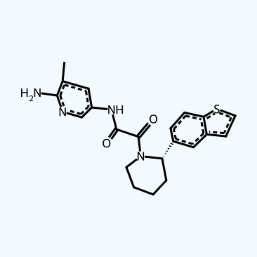 Cc1cc(NC(=O)C(=O)N2CCCC[C@H]2c2ccc3sccc3c2)cnc1N